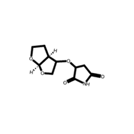 O=C1CC(OC2CO[C@H]3OCC[C@@H]23)C(=O)N1